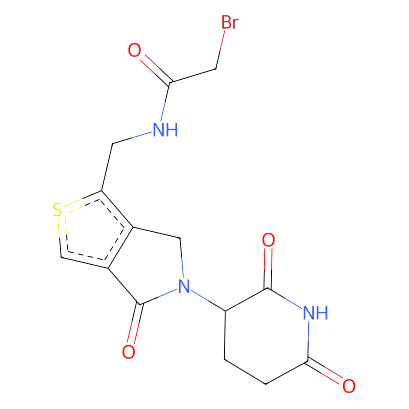 O=C(CBr)NCc1scc2c1CN(C1CCC(=O)NC1=O)C2=O